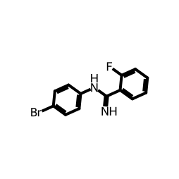 N=C(Nc1ccc(Br)cc1)c1ccccc1F